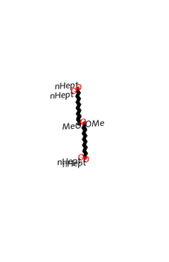 CCCCCCCOC(CCCCCCCCC=CC(OC)OC(C=CCCCCCCCCC(OCCCCCCC)OCCCCCCC)OC)OCCCCCCC